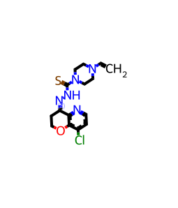 C=CN1CCN(C(=S)N/N=C2/CCOc3c(Cl)ccnc32)CC1